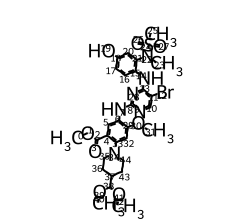 COC(=O)c1cc(Nc2ncc(Br)c(Nc3ccc(O)cc3N(C)S(C)(=O)=O)n2)c(OC)cc1N1CCC(C(OC)OC)CC1